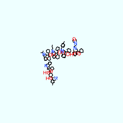 CC(C)N1Cc2ccccc2C(C(O)(C2CCCCC2)C2CCCCC2)C1.CCCCN1Cc2ccccc2C(C(O)(C2CCCCC2)C2CCCCC2)C1.CN1Cc2ccccc2C(C2(C3(C(=O)O)CC3)CCCCC2)C1.Cc1ccc(CN2Cc3ccccc3C(C3(O)CCCCC3)C2)cc1.Cc1ccc2c(c1)CN(C)CC2C1(O)CCCCC1.OC1(C2CN(CCN3CCOCC3)Cc3ccccc32)CCCCC1